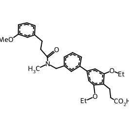 CCOc1cc(-c2cccc(CN(C)C(=O)CCc3cccc(OC)c3)c2)cc(OCC)c1CCC(=O)O